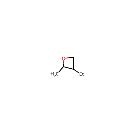 [CH2]C1OCC1CC